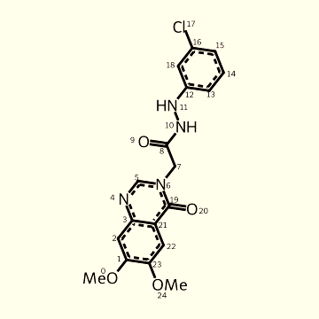 COc1cc2ncn(CC(=O)NNc3cccc(Cl)c3)c(=O)c2cc1OC